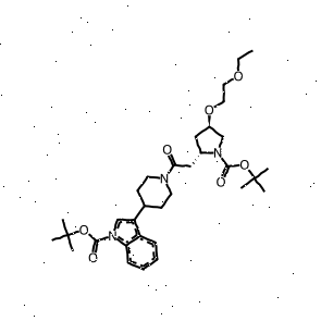 CCOCCO[C@@H]1C[C@@H](CC(=O)N2CCC(c3cn(C(=O)OC(C)(C)C)c4ccccc34)CC2)N(C(=O)OC(C)(C)C)C1